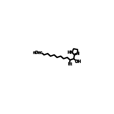 CCCCCCCCCCCCCCCCCCC(CC)C(O)C1=NCCN1